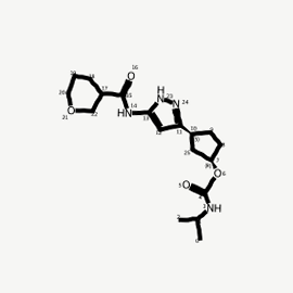 CC(C)NC(=O)O[C@@H]1CC[C@H](c2cc(NC(=O)C3CCCOC3)[nH]n2)C1